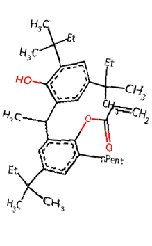 C=CC(=O)Oc1c(CCCCC)cc(C(C)(C)CC)cc1C(C)c1cc(C(C)(C)CC)cc(C(C)(C)CC)c1O